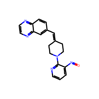 O=Nc1cccnc1N1CCC(=Cc2ccc3nccnc3c2)CC1